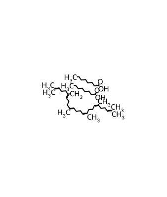 CC(C)=CCCC(C)=CCCC(C)=CCCC=C(C)CCC=C(C)CCC=C(C)C.CCCCCCCC(=O)O.CCCCCCCC(=O)O